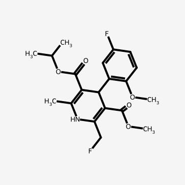 COC(=O)C1=C(CF)NC(C)=C(C(=O)OC(C)C)C1c1cc(F)ccc1OC